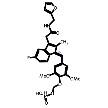 COc1cc(/C=C2/C(C)=C(CC(=O)NCc3ccco3)c3cc(F)ccc32)cc(OC)c1OCO[PH](=O)O